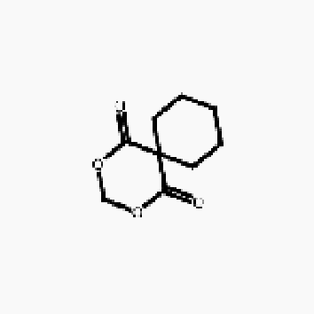 O=C1OCOC(=O)C12CCCCC2